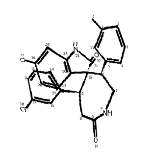 Cc1cccc([C@H]2CNC(=O)C[C@@H](c3cccc(Cl)c3)[C@]23C(=O)Nc2cc(Cl)ccc23)c1